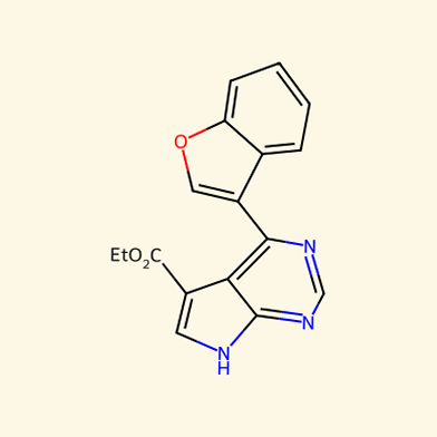 CCOC(=O)c1c[nH]c2ncnc(-c3coc4ccccc34)c12